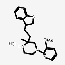 COc1cccnc1N1CCNC(C)(CCC2CSc3ccccc32)C1.Cl